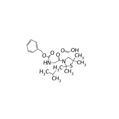 CC(C)C[C@H](NC(=O)OCc1ccccc1)C(=O)N1[C@H](C(=O)O)C(C)(C)SC1(C)C